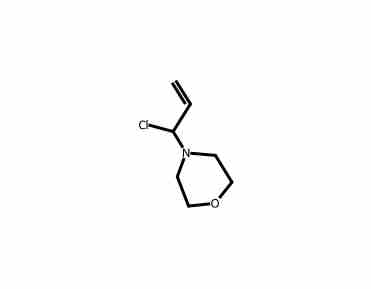 C=CC(Cl)N1CCOCC1